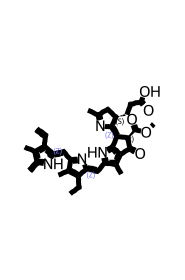 C=Cc1c(C)c(=C)[nH]/c1=C\C1=NC(=C\c2[nH]c3c(c2C)C(=O)[C@H](C(=O)OC)/C3=C2/N=C(C)C[C@@H]2CCC(=O)O)/C(CC)=C1C